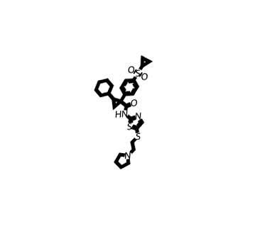 O=C(Nc1ncc(SCCN2CCCC2)s1)C1(c2ccc(S(=O)(=O)C3CC3)cc2)CC1C1CCCCC1